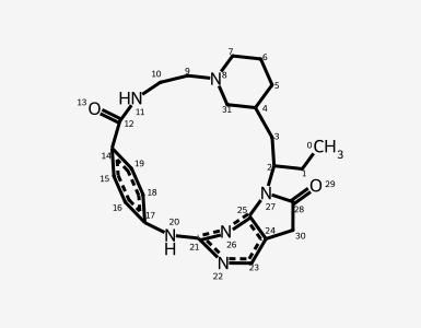 CCC1CC2CCCN(CCNC(=O)c3ccc(cc3)Nc3ncc4c(n3)N1C(=O)C4)C2